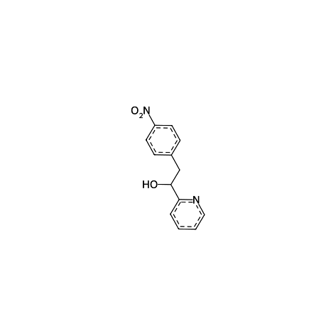 O=[N+]([O-])c1ccc(CC(O)c2ccccn2)cc1